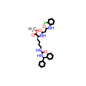 COC(=O)[C@H](CCCCNC(=O)NC(c1ccccc1)c1ccccc1)NC(=O)CC(=O)Nc1ccccc1F